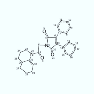 O=C(CN1C(=O)C(c2ccccc2)=C(c2ccccc2)C1=O)N1CCCC2CCCC=C21